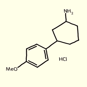 COc1ccc(C2CCCC(N)C2)cc1.Cl